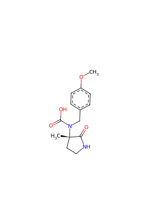 COc1ccc(CN(C(=O)O)[C@@]2(C)CCNC2=O)cc1